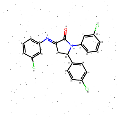 O=C1C(=Nc2cccc(Cl)c2)CC(c2ccc(Cl)cc2)N1c1cccc(Cl)c1